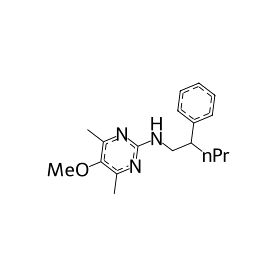 CCCC(CNc1nc(C)c(OC)c(C)n1)c1ccccc1